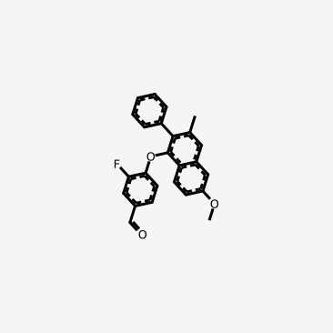 COc1ccc2c(Oc3ccc(C=O)cc3F)c(-c3ccccc3)c(C)cc2c1